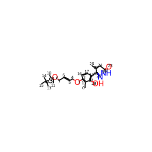 Cc1c(OCC=CCO[Si](C)(C)C(C)(C)C)ccc(C2=NNC(=O)CC2C)c1O